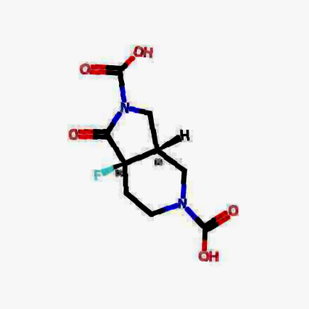 O=C(O)N1CC[C@]2(F)C(=O)N(C(=O)O)C[C@@H]2C1